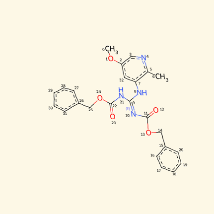 COc1cnc(C)c(N/C(=N\C(=O)OCc2ccccc2)NC(=O)OCc2ccccc2)c1